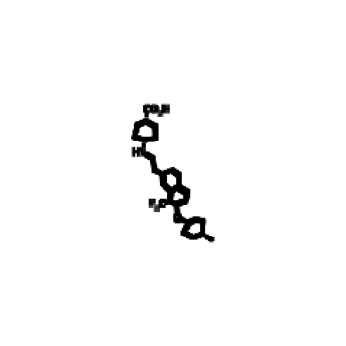 C[C@H]1CC[C@@H](Oc2ccc3ccc(CCN[C@H]4CC[C@@H](C(=O)O)CC4)cc3c2C(F)(F)F)CC1